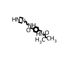 CC(C)C(=O)NCc1ccc(C(=O)NCCN2CCNCC2)cc1